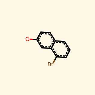 [O]c1ccc2cccc(Br)c2c1